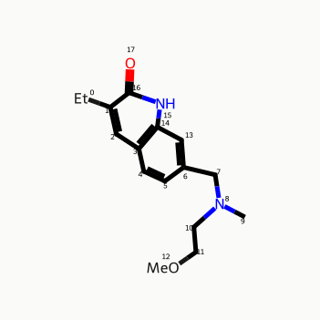 CCc1cc2ccc(CN(C)CCOC)cc2[nH]c1=O